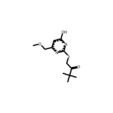 COCc1cc(O)nc(SCC(=O)C(C)(C)C)n1